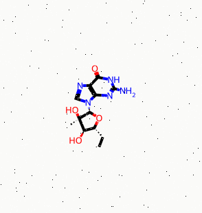 [CH2]C[C@H]1O[C@@H](n2cnc3c(=O)[nH]c(N)nc32)[C@](C)(O)[C@@H]1O